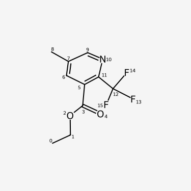 CCOC(=O)c1cc(C)cnc1C(F)(F)F